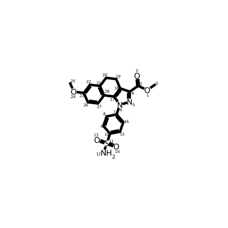 COC(=O)c1nn(-c2ccc(S(N)(=O)=O)cc2)c2c1CCc1cc(OC)ccc1-2